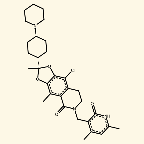 Cc1cc(C)c(CN2CCc3c(Cl)c4c(c(C)c3C2=O)OC(C)([C@H]2CC[C@H](N3CCCCC3)CC2)O4)c(=O)[nH]1